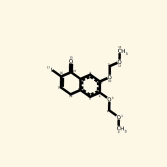 COCOc1cc2c(cc1OCOC)C(=O)C(I)=CC2